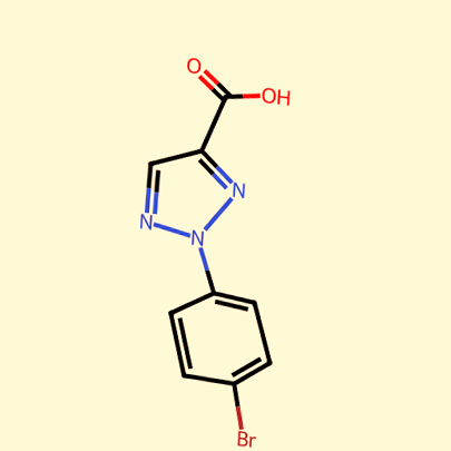 O=C(O)c1cnn(-c2ccc(Br)cc2)n1